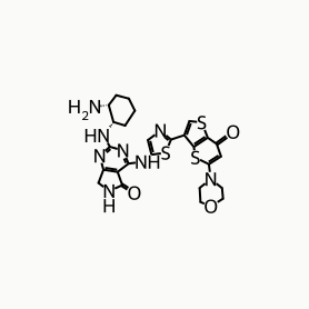 N[C@@H]1CCCC[C@@H]1Nc1nc2c(c(Nc3cnc(-c4csc5c(=O)cc(N6CCOCC6)sc45)s3)n1)C(=O)NC2